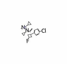 C=C(N(/C(=N\C)C1CC1)C1CC1)[C@]1(c2ccc(Cl)cc2)C[C@@H](F)C1